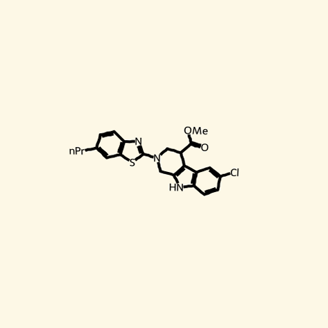 CCCc1ccc2nc(N3Cc4[nH]c5ccc(Cl)cc5c4C(C(=O)OC)C3)sc2c1